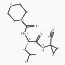 CC(C)C[C@H](NC(=O)N1CCOCC1)C(=O)NC1(C#N)CC1